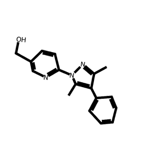 Cc1nn(-c2ccc(CO)cn2)c(C)c1-c1ccccc1